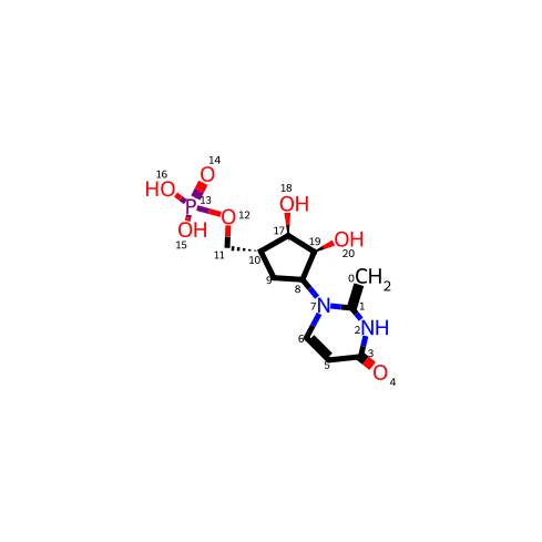 C=C1NC(=O)C=CN1C1C[C@H](COP(=O)(O)O)[C@@H](O)[C@H]1O